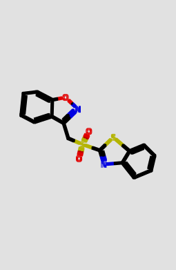 O=S(=O)(Cc1noc2ccccc12)c1nc2ccccc2s1